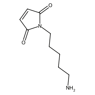 NCCCCCN1C(=O)C=CC1=O